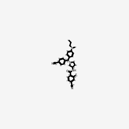 CCCN(C)c1ccc([C@@H](c2ccc(C#N)cc2)N2CCC(NC(=O)c3ccc(C#N)cc3F)C2)cc1